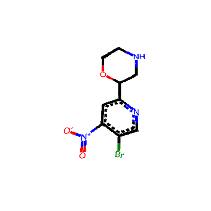 O=[N+]([O-])c1cc(C2CNCCO2)ncc1Br